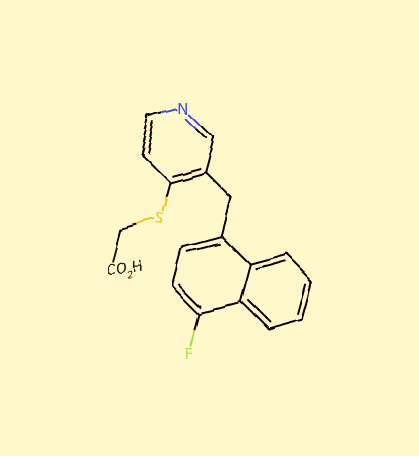 O=C(O)CSc1ccncc1Cc1ccc(F)c2ccccc12